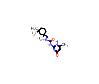 Cc1cc(=O)nc(NC(=O)NCC2(C)CCCC(C)(C)C2)[nH]1